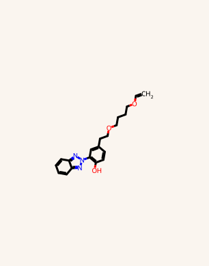 C=COCCCCOCCc1ccc(O)c(-n2nc3ccccc3n2)c1